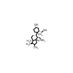 C=C1C(C)C[C@H]2[C@H](CN)[C@@H]([C@@]3(C)CC[C@H](O)C[C@@H]3CO)CC[C@]12C